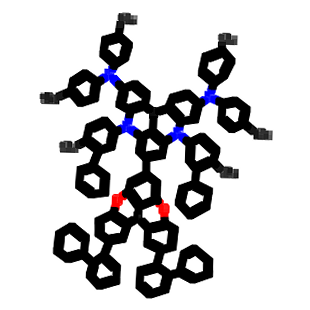 CC(C)(C)c1ccc(N(c2ccc(C(C)(C)C)cc2)c2ccc3c(c2)N(c2ccc(C(C)(C)C)c(-c4ccccc4)c2)c2cc(-c4cc5c6c(c4)Oc4ccc(-c7ccccc7-c7ccccc7)cc4B6c4cc(-c6ccccc6-c6ccccc6)ccc4O5)cc4c2B3c2ccc(N(c3ccc(C(C)(C)C)cc3)c3ccc(C(C)(C)C)cc3)cc2N4c2ccc(C(C)(C)C)c(-c3ccccc3)c2)cc1